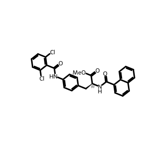 COC(=O)[C@H](Cc1ccc(NC(=O)c2c(Cl)cccc2Cl)cc1)NC(=O)c1cccc2ccccc12